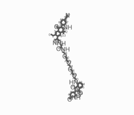 CCc1cc2c(cc1/C(C=N)=C/NCC(=O)NCCOCCOCCOCCOCCNc1cccc3c1C(=O)N(C1CCC(=O)NC1=O)C3=O)C(C)(C)c1[nH]c3cc(C#N)ccc3c1C2=O